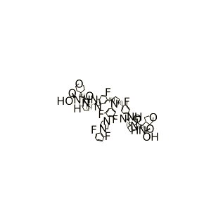 O=C(O)N[C@H](C(=O)N1CCC[C@H]1c1nc2cc([C@H]3CC[C@H](c4cc5nc([C@@H]6CCCN6C(=O)[C@@H](NC(=O)O)C6CCOCC6)[nH]c5cc4F)N3c3cc(F)c(N4CCN(c5c(F)cccc5F)CC4)c(F)c3)c(F)cc2[nH]1)C1CCOCC1